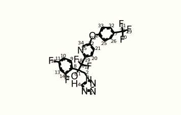 OC(Cn1cnnn1)(c1ccc(F)cc1F)C(F)(F)c1ccc(Oc2ccc(C(F)(F)F)cc2)cn1